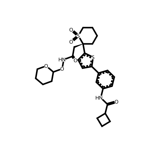 O=C(C[C@]1(c2ccc(-c3cccc(NC(=O)C4CCC4)c3)s2)CCCCS1(=O)=O)NOC1CCCCO1